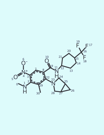 CNc1c([N+](=O)[O-])cc(C(=O)NC2CCC(C(F)(F)F)CC2)c(N2CC3CC3C2)c1C